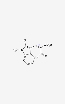 CCOC(=O)/C(=C/c1c(Cl)n(C)c2ccccc12)C(N)=O